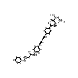 NC[C@H](NC(=O)c1ccc(C#CC#Cc2ccc(NC(=O)CNCc3cccnc3)cc2)cc1)C(=O)NO